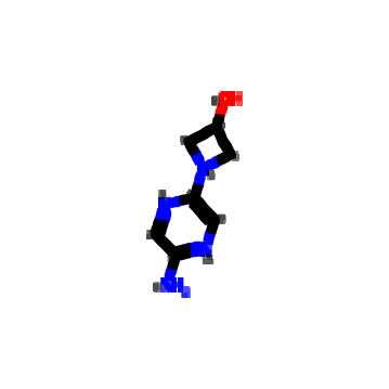 Nc1cnc(N2CC(O)C2)cn1